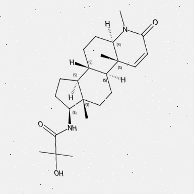 CN1C(=O)C=C[C@]2(C)[C@H]3CC[C@]4(C)[C@@H](NC(=O)C(C)(C)O)CC[C@H]4[C@@H]3CC[C@@H]12